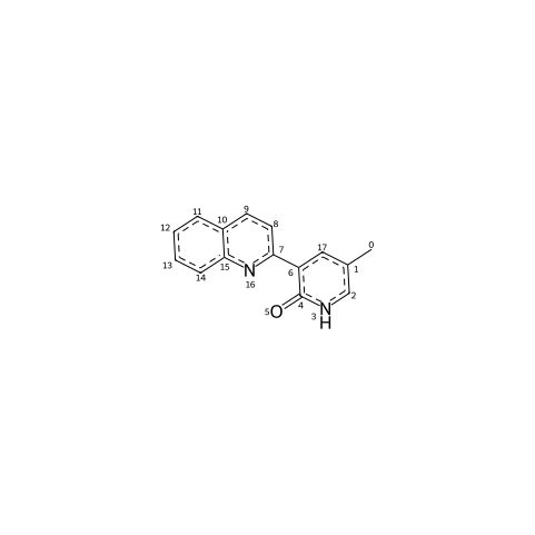 Cc1c[nH]c(=O)c(-c2ccc3ccccc3n2)c1